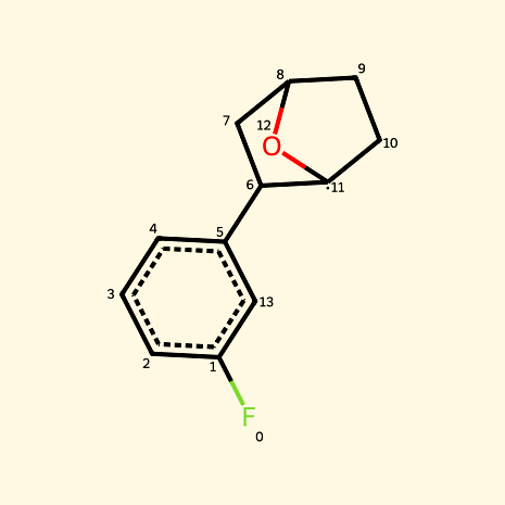 Fc1cccc(C2CC3CC[C]2O3)c1